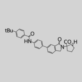 CC(C)(C)c1ccc(C(=O)Nc2ccc(-c3ccc4c(c3)C(=O)N(C3(C(=O)O)CCCC3)C4)cc2)cc1